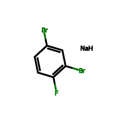 Fc1ccc(Br)cc1Br.[NaH]